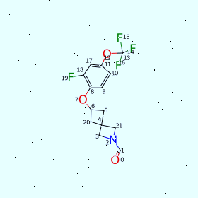 O=CN1CC2(CC(Oc3ccc(OC(F)(F)F)cc3F)C2)C1